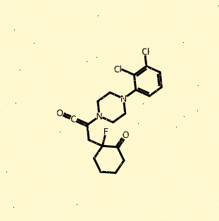 O=C=C(CC1(F)CCCCC1=O)N1CCN(c2cccc(Cl)c2Cl)CC1